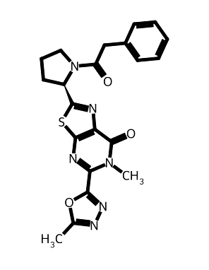 Cc1nnc(-c2nc3sc([C@H]4CCCN4C(=O)Cc4ccccc4)nc3c(=O)n2C)o1